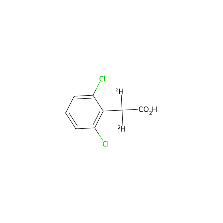 [2H]C([2H])(C(=O)O)c1c(Cl)cccc1Cl